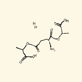 CC(OC(=O)C[C@H](N)C(=O)OC(C)C(=O)O)C(=O)O.[Fe].[Fe]